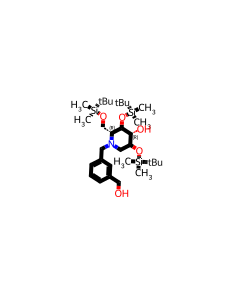 CC(C)(C)[Si](C)(C)OC[C@@H]1C(O[Si](C)(C)C(C)(C)C)[C@H](O)C(O[Si](C)(C)C(C)(C)C)CN1Cc1cccc(CO)c1